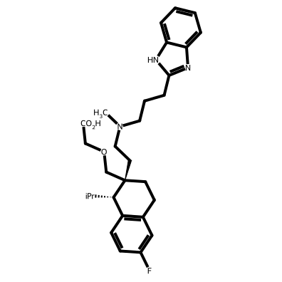 CC(C)[C@H]1c2ccc(F)cc2CC[C@@]1(CCN(C)CCCc1nc2ccccc2[nH]1)COCC(=O)O